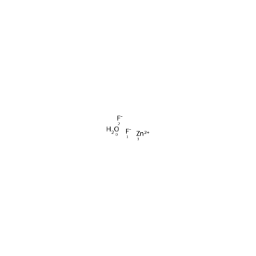 O.[F-].[F-].[Zn+2]